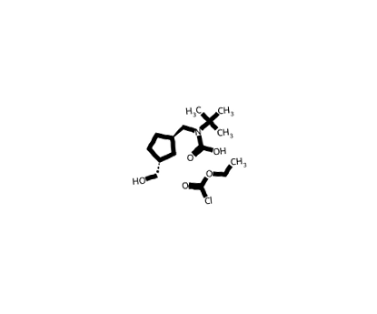 CC(C)(C)N(C[C@@H]1CC[C@@H](CO)C1)C(=O)O.CCOC(=O)Cl